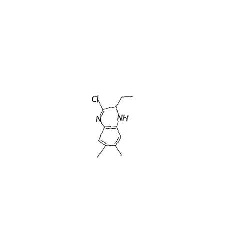 CCC1Nc2cc(C)c(C)cc2N=C1Cl